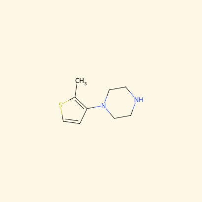 Cc1sccc1N1CCNCC1